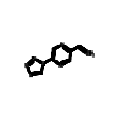 C=Cc1cnc(-n2cnnn2)cn1